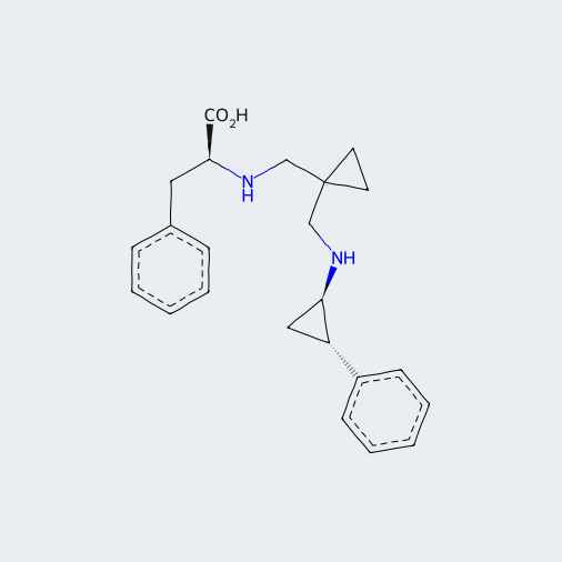 O=C(O)[C@H](Cc1ccccc1)NCC1(CN[C@@H]2C[C@H]2c2ccccc2)CC1